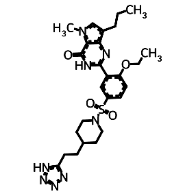 CCCc1cn(C)c2c(=O)[nH]c(-c3cc(S(=O)(=O)N4CCC(CCc5nnn[nH]5)CC4)ccc3OCC)nc12